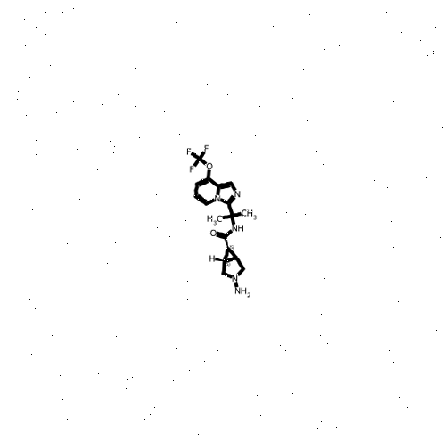 CC(C)(NC(=O)[C@H]1C2CN(N)C[C@@H]21)c1ncc2c(OC(F)(F)F)cccn12